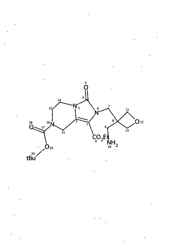 CCOC(=O)c1c2n(c(=O)n1CC1(CN)COC1)CCN(C(=O)OC(C)(C)C)C2